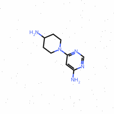 Nc1cc(N2CCC(N)CC2)ncn1